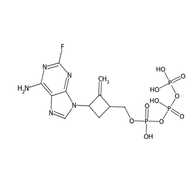 C=C1C(COP(=O)(O)OP(=O)(O)OP(=O)(O)O)CC1n1cnc2c(N)nc(F)nc21